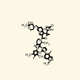 Cc1cc(-n2nc3c(c2-n2ccn(-c4ccc5c(cnn5C)c4F)c2=O)[C@H](C)N(C(=O)c2cn4cc(C[C@H]5CCOC(C)(C)C5)ccc4c2C2(c4noc(=O)[nH]4)CC2)CC3)cc(C)c1F